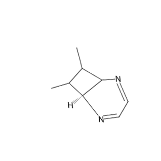 CC1C(C)[C@@H]2N=CC=NC12